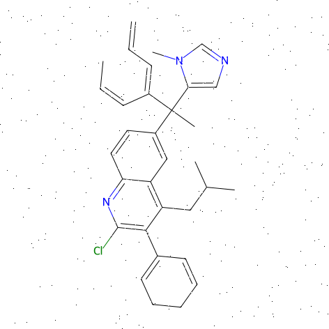 C=C/C=C(\C=C/C)C(C)(c1ccc2nc(Cl)c(C3=CCCC=C3)c(CC(C)C)c2c1)c1cncn1C